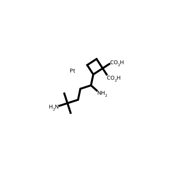 CC(C)(N)CCC(N)C1CCC1(C(=O)O)C(=O)O.[Pt]